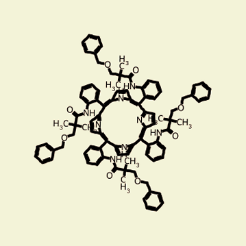 CC(C)(COCc1ccccc1)C(=O)Nc1ccccc1-c1c2nc(c(-c3ccccc3NC(=O)C(C)(C)COCc3ccccc3)c3ccc([nH]3)c(-c3ccccc3NC(=O)C(C)(C)COCc3ccccc3)c3nc(c(-c4ccccc4NC(=O)C(C)(C)COCc4ccccc4)c4ccc1[nH]4)C=C3)C=C2